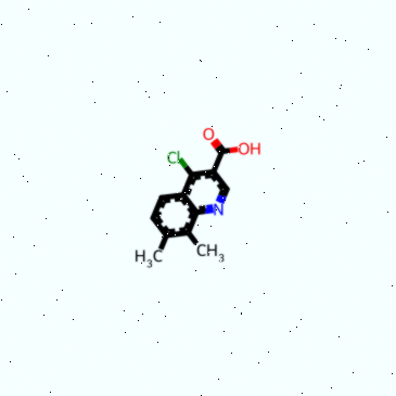 Cc1ccc2c(Cl)c(C(=O)O)cnc2c1C